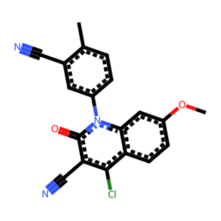 COc1ccc2c(Cl)c(C#N)c(=O)n(-c3ccc(C)c(C#N)c3)c2c1